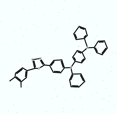 Cc1ccc(-c2nnc(-c3ccc(N(c4ccccc4)c4ccc(N(c5ccccc5)c5ccccc5)cc4)cc3)o2)cc1C